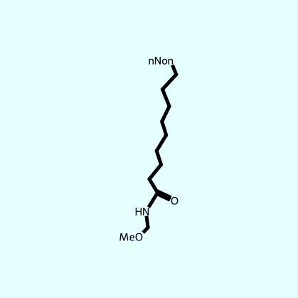 CCCCCCCCCCCCCCCCCC(=O)NCOC